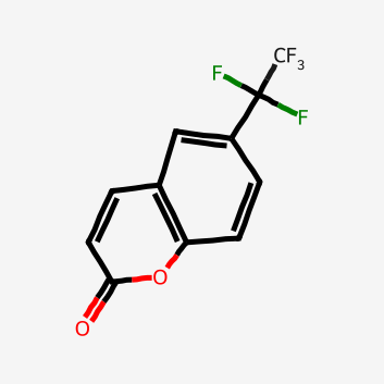 O=c1ccc2cc(C(F)(F)C(F)(F)F)ccc2o1